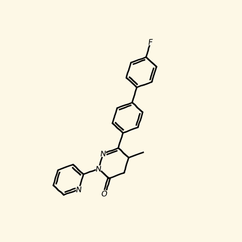 CC1CC(=O)N(c2ccccn2)N=C1c1ccc(-c2ccc(F)cc2)cc1